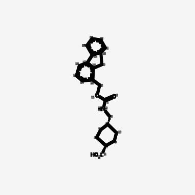 O=C(NC[C@H]1CC[C@H](C(=O)O)CC1)OCc1cccc2c1Cc1ccccc1-2